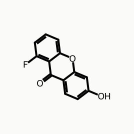 O=c1c2ccc(O)cc2oc2cccc(F)c12